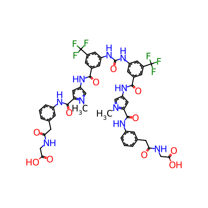 Cn1cc(NC(=O)c2cc(NC(=O)Nc3cc(C(=O)Nc4cc(C(=O)Nc5cccc(CC(=O)NCC(=O)O)c5)n(C)c4)cc(C(F)(F)F)c3)cc(C(F)(F)F)c2)cc1C(=O)Nc1cccc(CC(=O)NCC(=O)O)c1